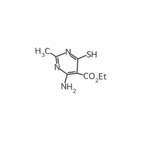 CCOC(=O)c1c(N)nc(C)nc1S